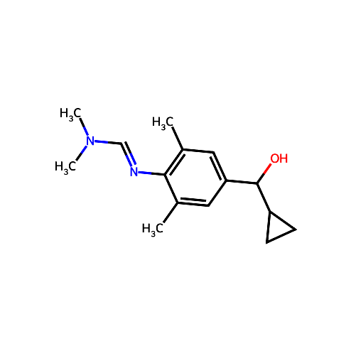 Cc1cc(C(O)C2CC2)cc(C)c1N=CN(C)C